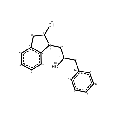 CC1Cc2ccccc2N1CC(O)Cc1ccccc1